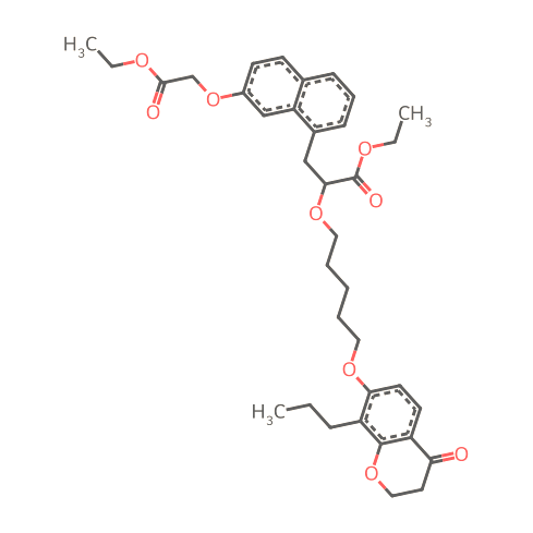 CCCc1c(OCCCCCOC(Cc2cccc3ccc(OCC(=O)OCC)cc23)C(=O)OCC)ccc2c1OCCC2=O